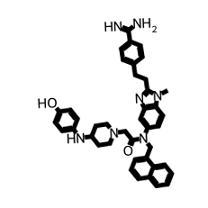 Cn1c(CCc2ccc(C(=N)N)cc2)nc2cc(N(Cc3cccc4ccccc34)C(=O)CN3CCC(Nc4ccc(O)cc4)CC3)ccc21